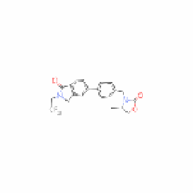 C[C@@H]1COC(=O)N1Cc1ccc(-c2ccc3c(c2)CN(CC(F)(F)F)C3=O)cc1